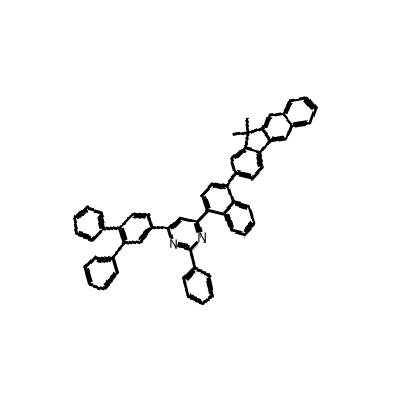 CC1(C)c2cc(-c3ccc(-c4cc(-c5ccc(-c6ccccc6)c(-c6ccccc6)c5)nc(-c5ccccc5)n4)c4ccccc34)ccc2-c2cc3ccccc3cc21